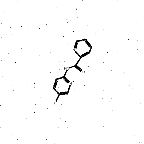 O=C(Nc1ccc(F)cn1)c1ccccn1